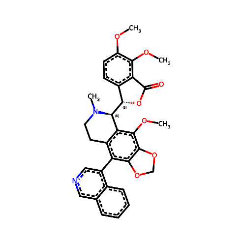 COc1ccc2c(c1OC)C(=O)O[C@@H]2[C@H]1c2c(c(-c3cncc4ccccc34)c3c(c2OC)OCO3)CCN1C